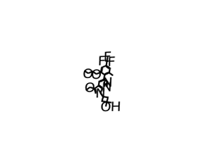 COCOc1cc(C(F)(F)F)cc(C)c1-c1cc2c(OC)cn(C3CC(C)(O)C3)c2nn1